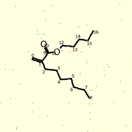 C=C(CCCCCCC)C(=O)OCCCCC